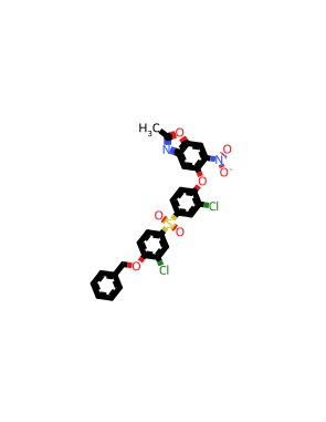 Cc1nc2cc(Oc3ccc(S(=O)(=O)c4ccc(OCc5ccccc5)c(Cl)c4)cc3Cl)c([N+](=O)[O-])cc2o1